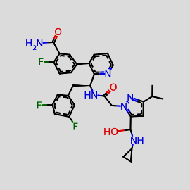 CC(C)c1cc(C(O)NC2CC2)n(CC(=O)N[C@@H](Cc2cc(F)cc(F)c2)c2ncccc2-c2ccc(F)c(C(N)=O)c2)n1